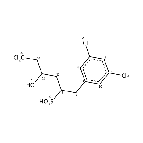 O=S(=O)(O)C(Cc1cc(Cl)cc(Cl)c1)CC(O)CC(Cl)(Cl)Cl